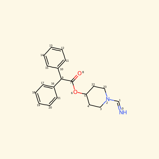 N=CN1CCC(OC(=O)C(c2ccccc2)c2ccccc2)CC1